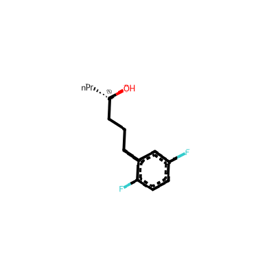 CCC[C@H](O)CCCc1cc(F)ccc1F